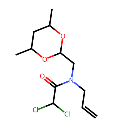 C=CCN(CC1OC(C)CC(C)O1)C(=O)C(Cl)Cl